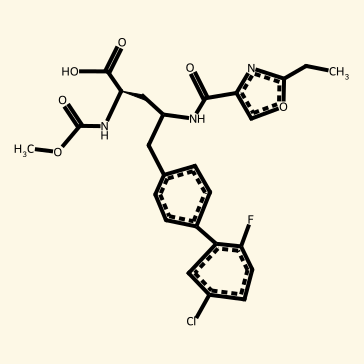 CCc1nc(C(=O)NC(Cc2ccc(-c3cc(Cl)ccc3F)cc2)C[C@@H](NC(=O)OC)C(=O)O)co1